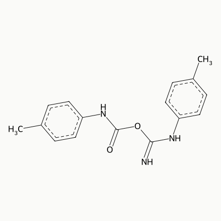 Cc1ccc(NC(=N)OC(=O)Nc2ccc(C)cc2)cc1